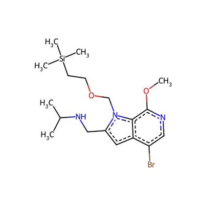 COc1ncc(Br)c2cc(CNC(C)C)n(COCC[Si](C)(C)C)c12